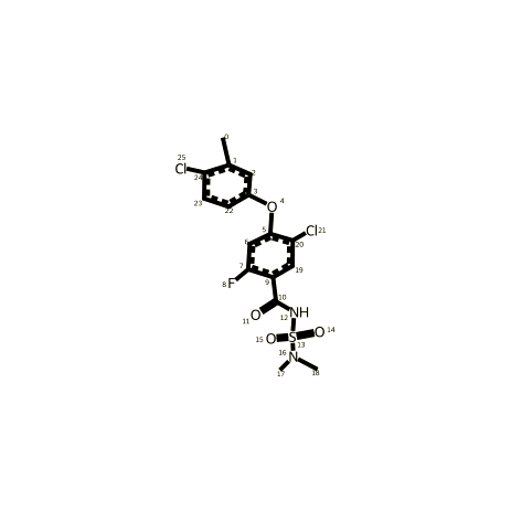 Cc1cc(Oc2cc(F)c(C(=O)NS(=O)(=O)N(C)C)cc2Cl)ccc1Cl